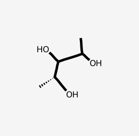 CC(O)C(O)[C@@H](C)O